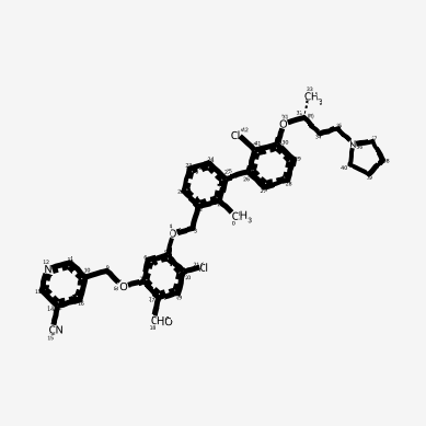 Cc1c(COc2cc(OCc3cncc(C#N)c3)c(C=O)cc2Cl)cccc1-c1cccc(O[C@H](C)CCN2CCCC2)c1Cl